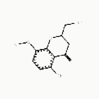 O=CCC1CC(=O)c2c(O)ccc(SCl)c2O1